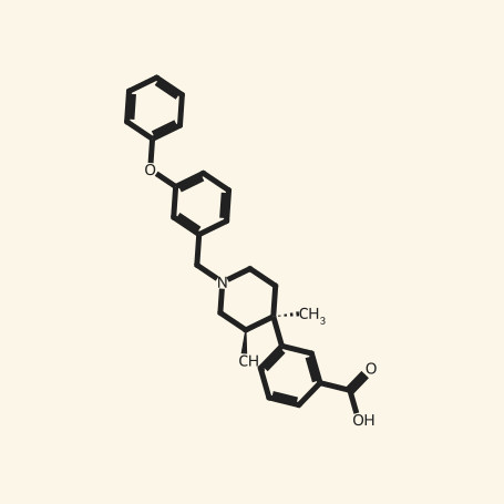 C[C@H]1CN(Cc2cccc(Oc3ccccc3)c2)CC[C@@]1(C)c1cccc(C(=O)O)c1